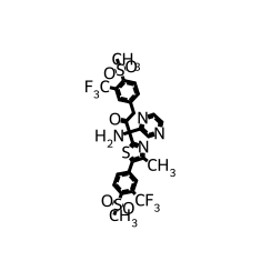 Cc1nc(C(N)(C(=O)Cc2ccc(S(C)(=O)=O)c(C(F)(F)F)c2)c2cnccn2)sc1-c1ccc(S(C)(=O)=O)c(C(F)(F)F)c1